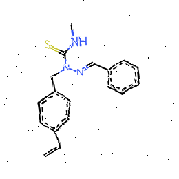 C=Cc1ccc(CN(N=Cc2ccccc2)C(=S)NC)cc1